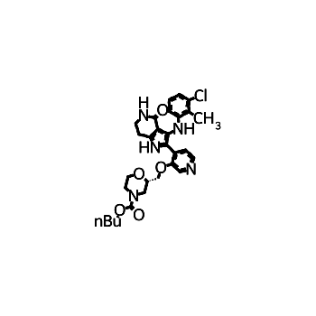 CCCCOC(=O)N1CCO[C@H](COc2cnccc2-c2[nH]c3c(c2Nc2cccc(Cl)c2C)C(=O)NCC3)C1